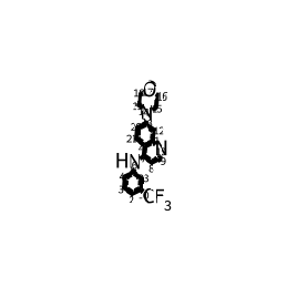 FC(F)(F)c1cccc(Nc2ccnc3cc(N4CCOCC4)ccc23)c1